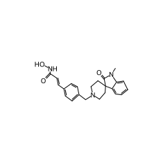 CN1C(=O)C2(CCN(Cc3ccc(C=CC(=O)NO)cc3)CC2)c2ccccc21